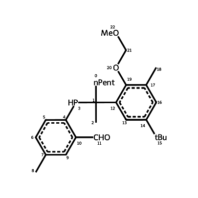 CCCCCC(C)(Pc1ccc(C)cc1C=O)c1cc(C(C)(C)C)cc(C)c1OCOC